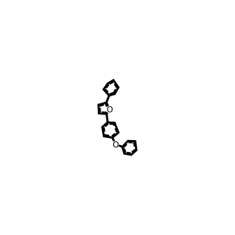 c1ccc(Oc2ccc(-c3ccc(-c4ccccc4)o3)cc2)cc1